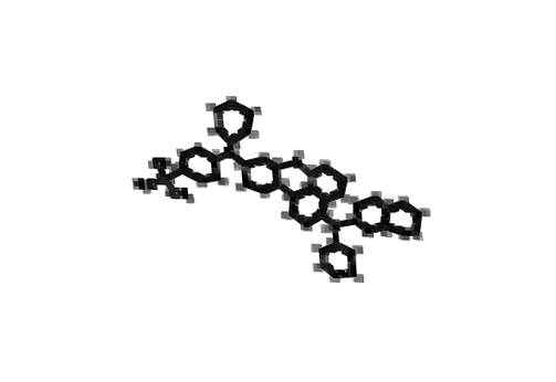 C[Si](C)(C)c1ccc(N(c2ccccc2)c2ccc3c(c2)Sc2cccc4c(N(c5ccccc5)c5ccc6ccccc6c5)ccc-3c24)cc1